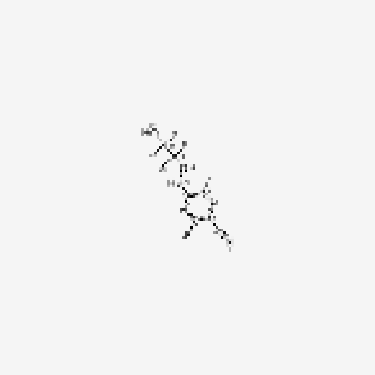 Cc1cc(C#N)c(F)cc1BOC(C)(C)C(C)(C)O